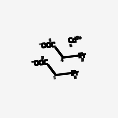 CC(C)CC(=O)[O-].CC(C)CC(=O)[O-].[Cd+2]